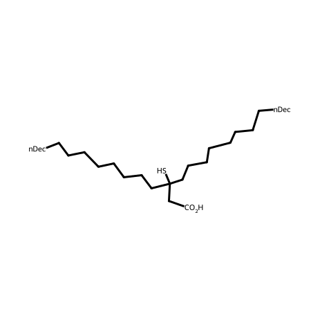 CCCCCCCCCCCCCCCCCCC(S)(CCCCCCCCCCCCCCCCCC)CC(=O)O